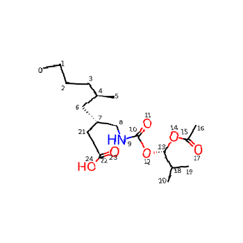 CCCC[C@@H](C)C[C@H](CNC(=O)O[C@H](OC(C)=O)C(C)C)CC(=O)O